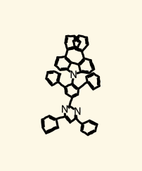 c1ccc(-c2cc(-c3ccccc3)nc(-c3cc(-c4ccccc4)c(-n4c5cccc(-c6ccccc6)c5c5c(-c6ccccc6)cccc54)c(-c4ccccc4)c3)n2)cc1